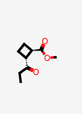 CCC(=O)[C@@H]1CC[C@H]1C(=O)OC